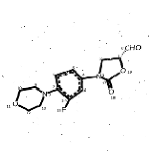 O=C[C@H]1CN(c2ccc(N3CCOCC3)c(F)c2)C(=O)O1